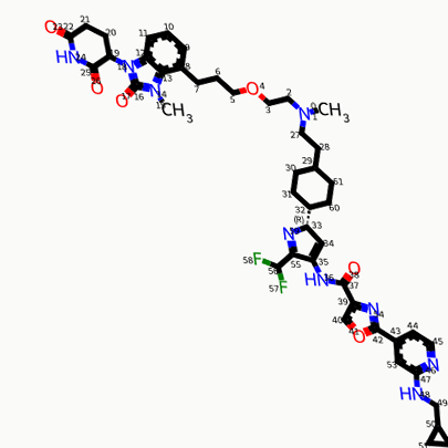 CN(CCOCCCc1cccc2c1n(C)c(=O)n2C1CCC(=O)NC1=O)CCC1CCC([C@@H]2C=C(NC(=O)c3coc(-c4ccnc(NCC5CC5)c4)n3)C(C(F)F)=N2)CC1